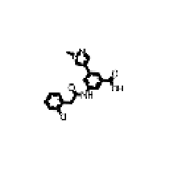 Cn1cc(-c2cc(NC(=O)Cc3ccccc3Cl)cc(C(=O)O)c2)cn1